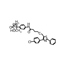 CC(C)(c1ccc(NC(=O)CCCCCc2sc(-c3ccccc3)nc2-c2ccc(Cl)cc2)cc1)P(=O)(O)O